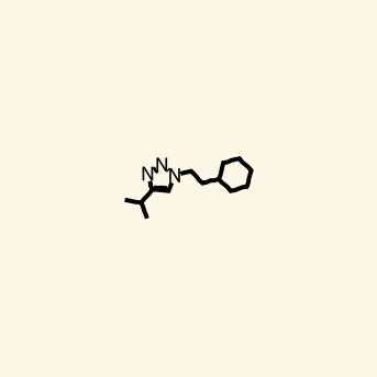 CC(C)c1cn(CCC2CCCCC2)nn1